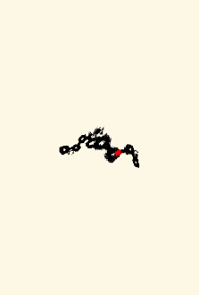 c1cc(-c2ccc3c(ccc4c(-c5cccc(-c6ccc7oc8ccccc8c7c6)c5)ncnc43)c2)cc(-c2ccc3oc4ccccc4c3c2)c1